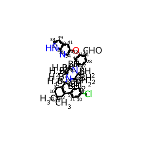 BC(B)(C1=C(c2ccc(Cl)cc2)CC(C)(C)CC1)N1C(B)(B)C(B)(B)N(c2ccc(C=O)c(Oc3cnc4[nH]ccc4c3)c2)C(B)(B)C1(B)B